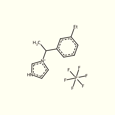 CCc1cccc(C(C)[n+]2cc[nH]c2)c1.F[P-](F)(F)(F)(F)F